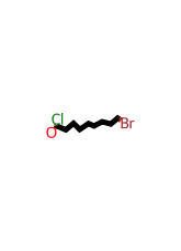 O=C(Cl)CCCCCCCCBr